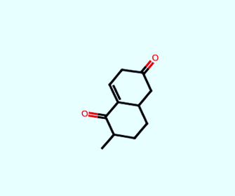 CC1CCC2CC(=O)CC=C2C1=O